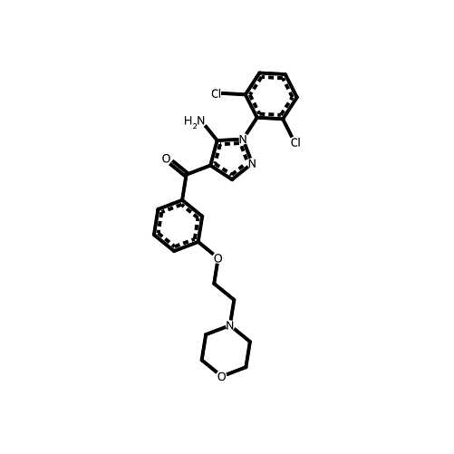 Nc1c(C(=O)c2cccc(OCCN3CCOCC3)c2)cnn1-c1c(Cl)cccc1Cl